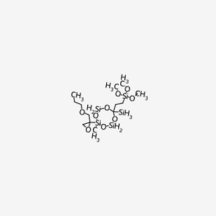 CCCOCC1([Si]2(C)O[SiH2]OC([SiH3])(CC[Si](OC)(OC)OC)O[SiH2]O2)CO1